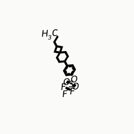 CCCC1CC2(CCC(c3ccc(OS(=O)(=O)C(F)(F)F)cc3)CC2)C1